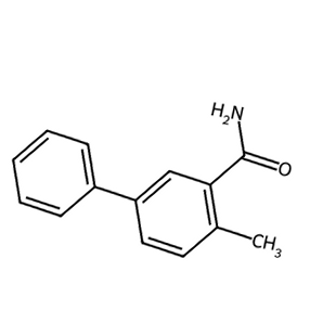 Cc1ccc(-c2ccccc2)cc1C(N)=O